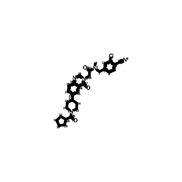 CN(Cc1ccc(C#N)c(Cl)c1)C(=O)Cn1cnc2ccc(C3CCN(C(=O)C4CCCC4)CC3)cc2c1=O